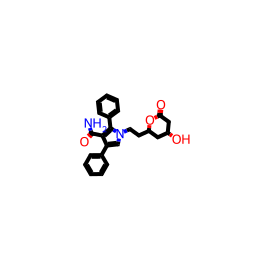 NC(=O)c1c(-c2ccccc2)cn(CCC2CC(O)CC(=O)O2)c1-c1ccccc1